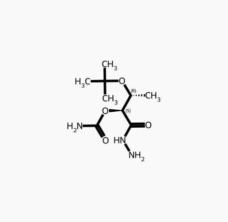 C[C@@H](OC(C)(C)C)[C@H](OC(N)=O)C(=O)NN